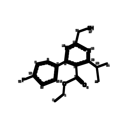 CCOC(=O)c1c(-c2ccc(F)cc2)nc(CS)nc1C(C)C